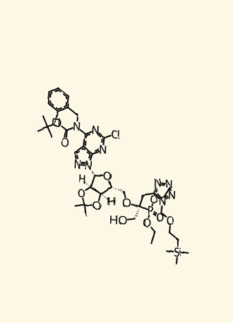 CCOP(=O)(OCC)[C@](CO)(Cc1nnnn1COCC[Si](C)(C)C)OC[C@H]1O[C@@H](n2ncc3c(N(Cc4ccccc4Cl)C(=O)OC(C)(C)C)nc(Cl)nc32)[C@@H]2OC(C)(C)O[C@@H]21